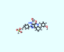 COc1ccc(Cn2c(=O)c3c(NC(C)=O)n(-c4ccc(CCOS(C)(=O)=O)cc4)nc3c3ccccc32)cc1